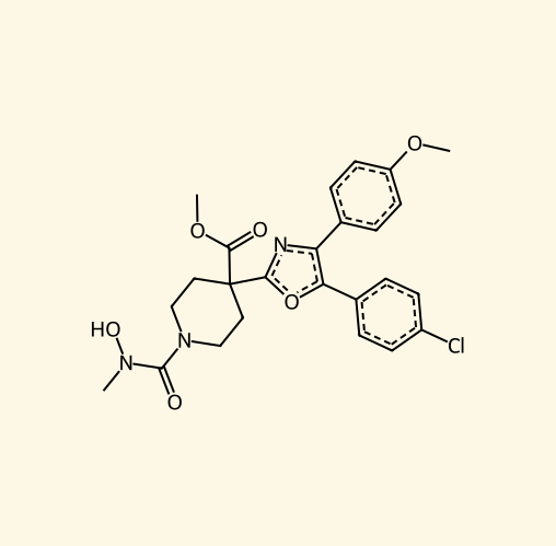 COC(=O)C1(c2nc(-c3ccc(OC)cc3)c(-c3ccc(Cl)cc3)o2)CCN(C(=O)N(C)O)CC1